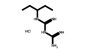 CCC(CC)NC(=N)NC(=N)N.Cl